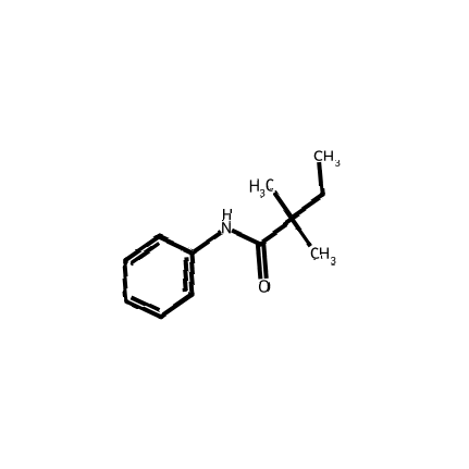 CCC(C)(C)C(=O)Nc1ccccc1